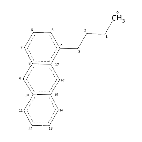 CCC[CH]c1cccc2cc3ccccc3cc12